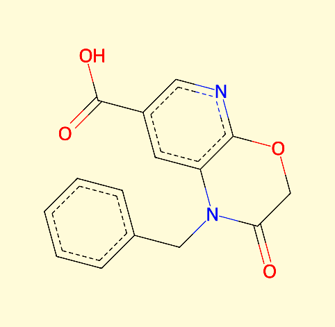 O=C(O)c1cnc2c(c1)N(Cc1ccccc1)C(=O)CO2